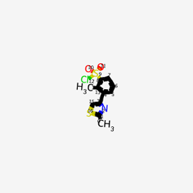 Cc1nc(-c2cccc(S(=O)(=O)Cl)c2C)cs1